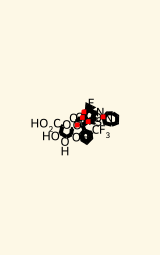 O=C(OC1OC(C(=O)O)C(O)C(O)C1O)c1cc(F)c2nc(N3C4CCC3CC(OCc3c(-c5ccccc5C(F)(F)F)noc3C3CC3)C4)sc2c1